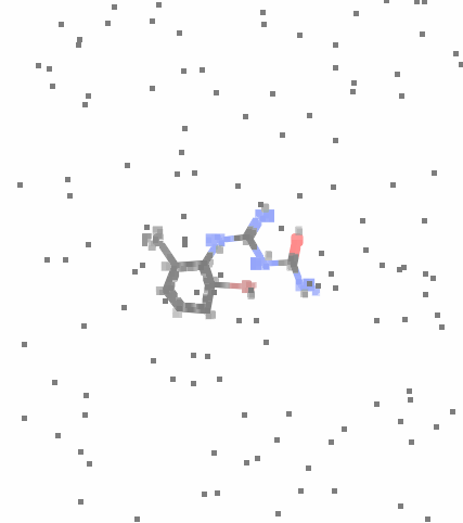 N=C(NC(N)=O)Nc1c(Br)cccc1C(F)(F)F